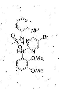 COc1cccc(Nc2ncc(Br)c(Nc3ccccc3NS(C)(=O)=O)n2)c1OC